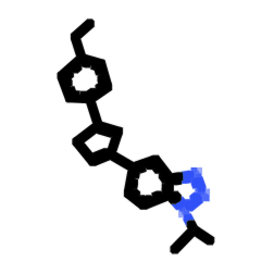 CCc1ccc(C2=CC(c3ccc4c(c3)nnn4C(C)C)=CC2)cc1